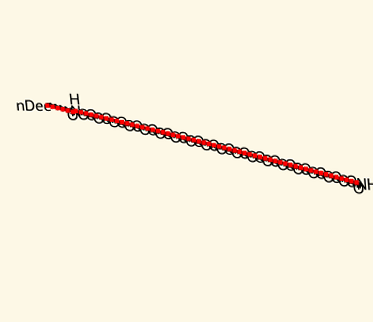 CCCCCCCCCCCCCCCCCCCC(=O)NCCOCCOCCOCCOCCOCCOCCOCCOCCOCCOCCOCCOCCOCCOCCOCCOCCOCCOCCOCCOCCOCCOCCOCCOCCOCCOCCOCCOCCOCCOCCOCCOCCOCCOCCOCCOCCC(N)=O